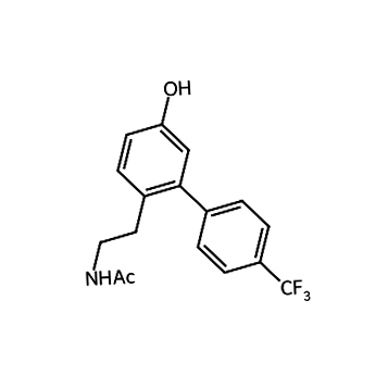 CC(=O)NCCc1ccc(O)cc1-c1ccc(C(F)(F)F)cc1